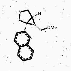 COC[C@H]1[C@@H]2CNC[C@@]21c1ccc2ccccc2c1